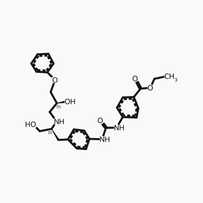 CCOC(=O)c1ccc(NC(=O)Nc2ccc(C[C@@H](CO)NC[C@H](O)COc3ccccc3)cc2)cc1